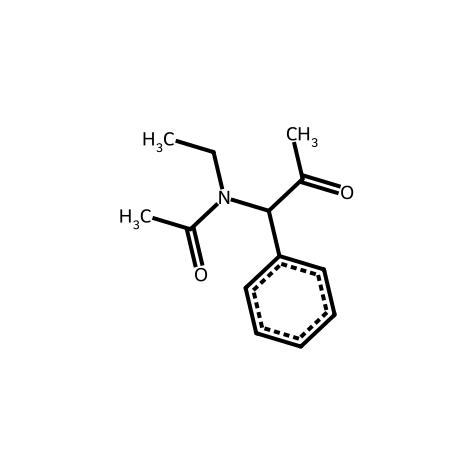 CCN(C(C)=O)C(C(C)=O)c1ccccc1